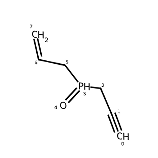 C#CC[PH](=O)CC=C